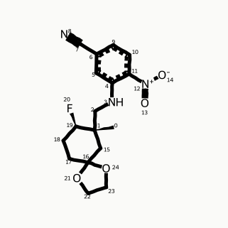 C[C@@]1(CNc2cc(C#N)ccc2[N+](=O)[O-])CC2(CC[C@H]1F)OCCO2